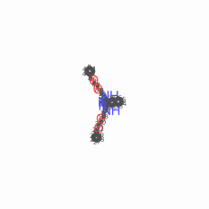 c1ccc(COCCOCCNc2nnc(NCCOCCOCc3ccccc3)c3cc4ccccc4cc23)cc1